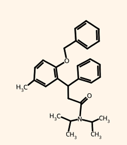 Cc1ccc(OCc2ccccc2)c(C(CC(=O)N(C(C)C)C(C)C)c2ccccc2)c1